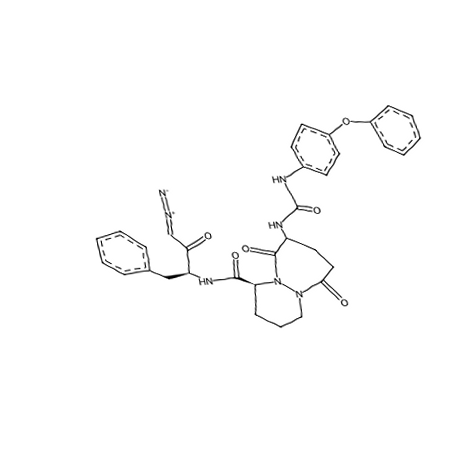 [N-]=[N+]=CC(=O)[C@H](Cc1ccccc1)NC(=O)[C@@H]1CCCN2C(=O)CCC(NC(=O)Nc3ccc(Oc4ccccc4)cc3)C(=O)N12